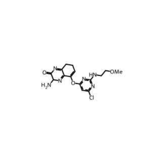 COCCNc1nc(Cl)cc(OC2=CCCC3=NC(=O)C(N)N=C23)n1